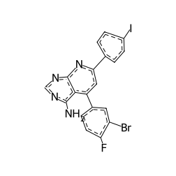 Nc1ncnc2nc(-c3ccc(I)cc3)cc(-c3ccc(F)c(Br)c3)c12